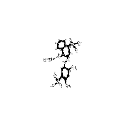 Cc1cc(C)c(S(=O)(=O)[O-])cc1N=Nc1cc(S(=O)(=O)[O-])c2ccccc2c1O.[Na+].[Na+]